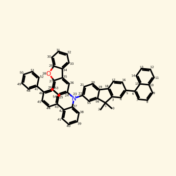 CC1(C)c2cc(-c3cccc4ccccc34)ccc2-c2ccc(N(c3ccc4oc5ccccc5c4c3)c3ccccc3-c3ccc(-c4ccccc4)cc3)cc21